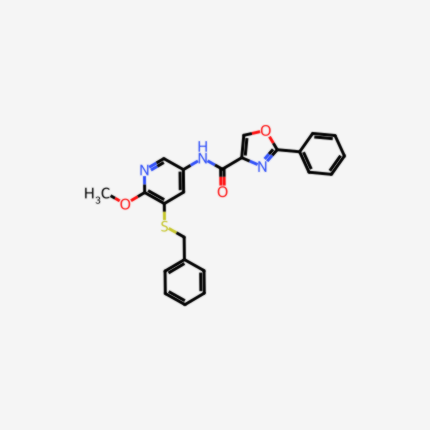 COc1ncc(NC(=O)c2coc(-c3ccccc3)n2)cc1SCc1ccccc1